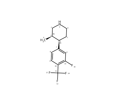 C[C@H]1CNCC[C@H]1c1ccc(C(F)(F)F)c(F)c1